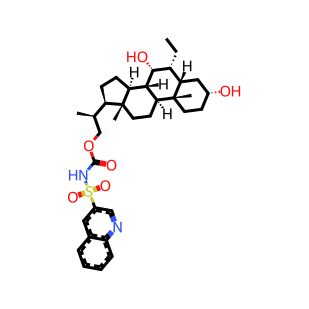 CC[C@H]1[C@@H](O)[C@@H]2[C@H](CC[C@]3(C)[C@@H]([C@H](C)COC(=O)NS(=O)(=O)c4cnc5ccccc5c4)CC[C@@H]23)[C@@]2(C)CC[C@@H](O)C[C@@H]12